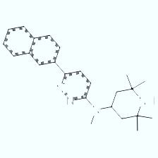 CN(c1ccc(-c2ccc3ccccc3c2)nn1)C1CC(C)(C)NC(C)(C)C1